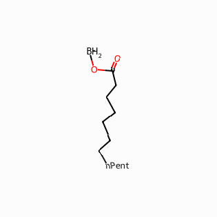 BOC(=O)CCCCCCCCCCC